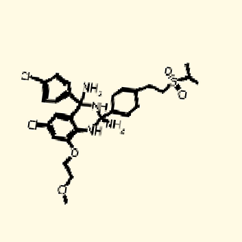 COCCOc1cc(Cl)cc2c1NC(N)(C1CCC(CCS(=O)(=O)C(C)C)CC1)NC2(N)c1ccc(Cl)cc1